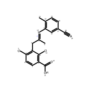 C/C(Cc1c(Cl)ccc(C(=O)O)c1Cl)=N\c1cc(C#N)ccc1C